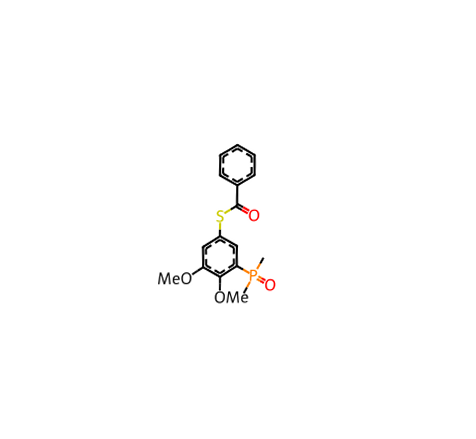 COc1cc(SC(=O)c2ccccc2)cc(P(C)(C)=O)c1OC